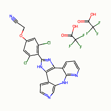 N#CCOc1cc(Cl)c(-c2nc3c([nH]2)-c2ccncc2Nc2ncccc2-3)c(Cl)c1.O=C(O)C(F)(F)F.O=C(O)C(F)(F)F